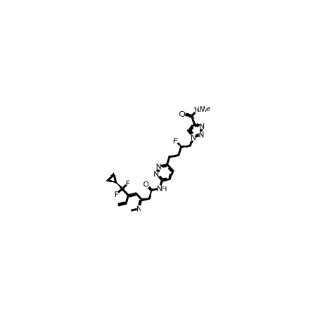 C=C/C(=C\C(CC(=O)Nc1ccc(CC[C@@H](F)Cn2cc(C(=O)NC)nn2)nn1)=N/C)C(F)(F)C1CC1